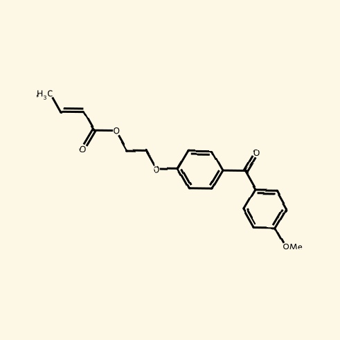 CC=CC(=O)OCCOc1ccc(C(=O)c2ccc(OC)cc2)cc1